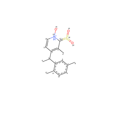 CC1=C(C(C)c2cc(C)ccc2C)C=C[NH+]([O-])C1=S(=O)=O